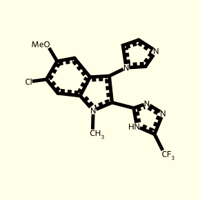 COc1cc2c(-n3ccnc3)c(-c3nnc(C(F)(F)F)[nH]3)n(C)c2cc1Cl